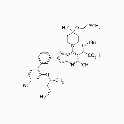 C=CCOC1(C)CCN(c2c(C(OC(C)(C)C)C(=O)O)c(C)nc3cc(-c4cccc(-c5ccc(C#N)cc5O[C@@H](C)CC=C)c4)nn23)CC1